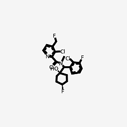 CN(C(=O)c1nccc(CF)c1Cl)C(c1cccc(F)c1Cl)[C@]1(O)CC[C@@H](F)CC1